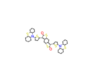 O=C1Sc2cc3c(cc2=C1c1ccc(N2c4ccccc4Sc4ccccc42)s1)SC(=O)C=3c1ccc(N2c3ccccc3Sc3ccccc32)s1